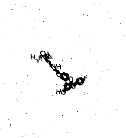 CN(C)C(=O)/C=C/CNCCOc1ccc(Oc2c(-c3ccc(F)cc3)sc3cc(O)ccc23)cc1